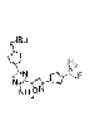 CCC(C)Sc1ccc(-c2cnc(N)c(-c3cc(-c4ccc(C(N)CF)cc4)no3)n2)cc1